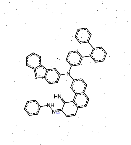 N=C1/C(=N\Nc2ccccc2)C=Cc2ccc3ccc(N(c4cccc(-c5ccccc5-c5ccccc5)c4)c4ccc5sc6ccccc6c5c4)cc3c21